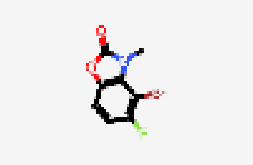 Cn1c(=O)oc2ccc(F)c(Br)c21